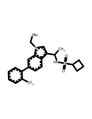 CC(NS(=O)(=O)C1CCC1)c1cn(CC(C)(C)C)c2cc(-c3ccccc3C(F)(F)F)ccc12